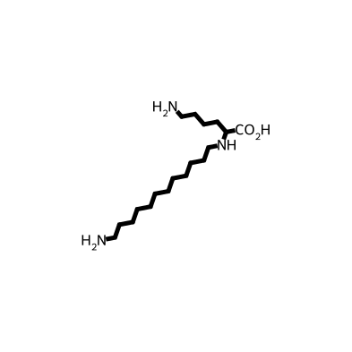 NCCCCCCCCCCCCNC(CCCCN)C(=O)O